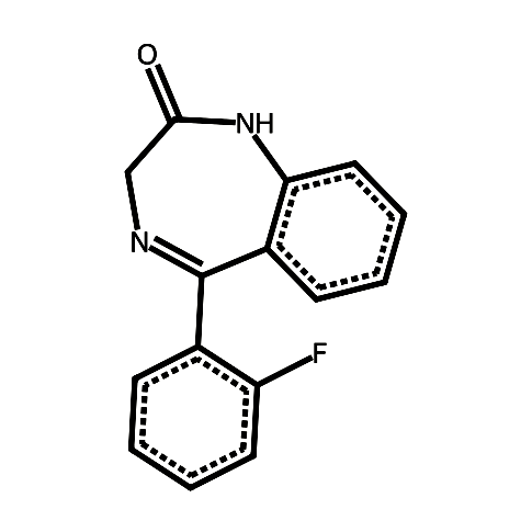 O=C1CN=C(c2ccccc2F)c2ccccc2N1